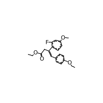 CCOC(=O)CC(=Cc1ccc(OCC)cc1)c1ccc(OC)cc1F